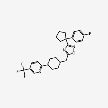 Fc1ccc(C2(c3noc(CN4CCN(c5ccc(C(F)(F)F)cn5)CC4)n3)CCCC2)cc1